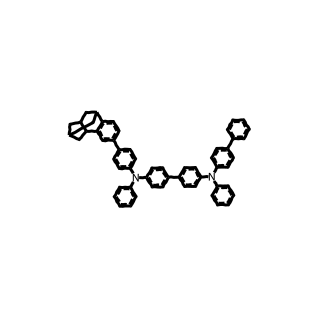 c1ccc(-c2ccc(N(c3ccccc3)c3ccc(-c4ccc(N(c5ccccc5)c5ccc(-c6ccc7c(c6)C6CC8CC7CC6C8)cc5)cc4)cc3)cc2)cc1